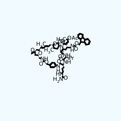 CC(=O)O[C@@H](C)/C=C\C(=O)N[C@@H]1C[C@H](C)[C@H](C/C=C(C)/C=C/[C@@H]2C[C@]3(CO3)C[C@@H](CNC(=O)OCc3ccc(NC(=O)[C@H](CCCNC(N)=O)NC(=O)[C@@H](NC(=O)CCCCCNC(=O)OCC4c5ccccc5-c5ccccc54)C(C)C)cc3)O2)O[C@@H]1C